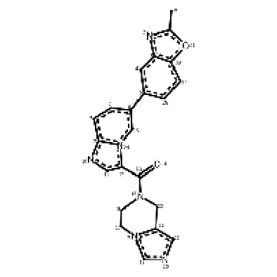 Cc1nc2cc(-c3ccc4ncc(C(=O)N5CCn6cncc6C5)n4c3)ccc2o1